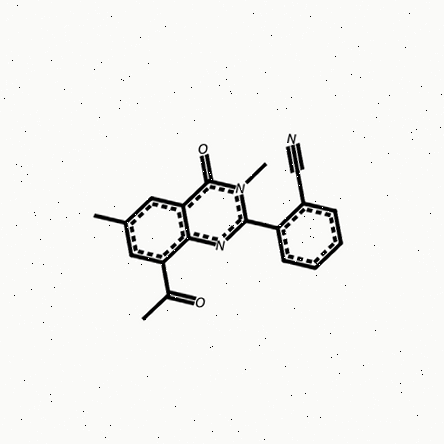 CC(=O)c1cc(C)cc2c(=O)n(C)c(-c3ccccc3C#N)nc12